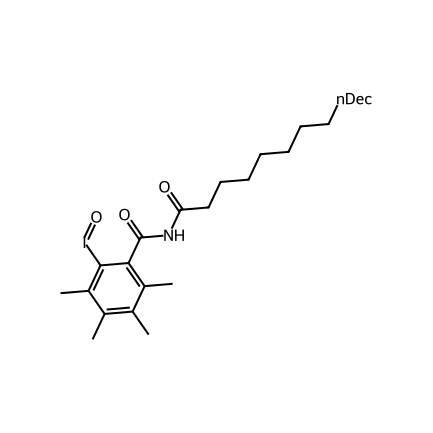 CCCCCCCCCCCCCCCCCC(=O)NC(=O)c1c(C)c(C)c(C)c(C)c1I=O